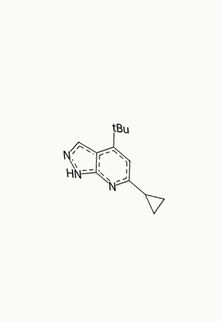 CC(C)(C)c1cc(C2CC2)nc2[nH]ncc12